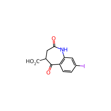 O=C1CC(C(=O)O)C(=O)c2ccc(I)cc2N1